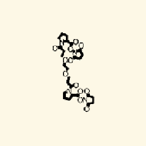 O=C(ON1C(=O)CCC1=O)C1CCCN1C(=O)CCOCCOCCC(=O)N1CCCC1C(=O)ON1C(=O)CCC1=O